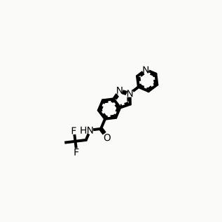 CC(F)(F)CNC(=O)c1ccc2nn(-c3cccnc3)cc2c1